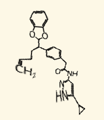 C=CCCC(c1ccc(CC(=O)Nc2cc(C3CC3)[nH]n2)cc1)C1Oc2ccccc2O1